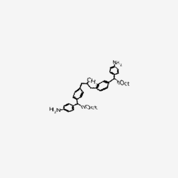 CCCCCCCCC(c1ccc(N)cc1)c1ccc(CC(C)Cc2ccc(C(CCCCCCCC)c3ccc(N)cc3)cc2)cc1